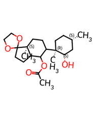 CC(=O)OC1C2CCC3(OCCO3)[C@@]2(C)CCC1[C@@]1(C)CC[C@H](C)C[C@@H]1O